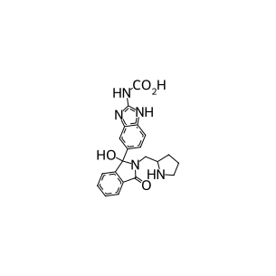 O=C(O)Nc1nc2cc(C3(O)c4ccccc4C(=O)N3CC3CCCN3)ccc2[nH]1